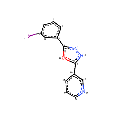 Ic1cccc(-c2nnc(-c3cccnc3)o2)c1